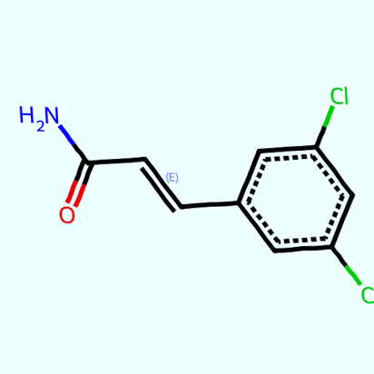 NC(=O)/C=C/c1cc(Cl)cc(Cl)c1